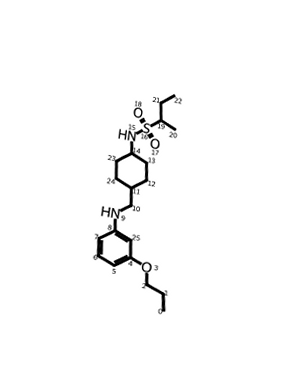 CCCOc1cccc(NCC2CCC(NS(=O)(=O)C(C)CC)CC2)c1